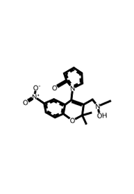 CN(O)CC1=C(n2ccccc2=O)c2cc([N+](=O)[O-])ccc2OC1(C)C